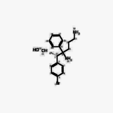 C[C@@H](c1ccc(Br)cc1)C(N)(CCCN)c1ccccc1.Cl.Cl